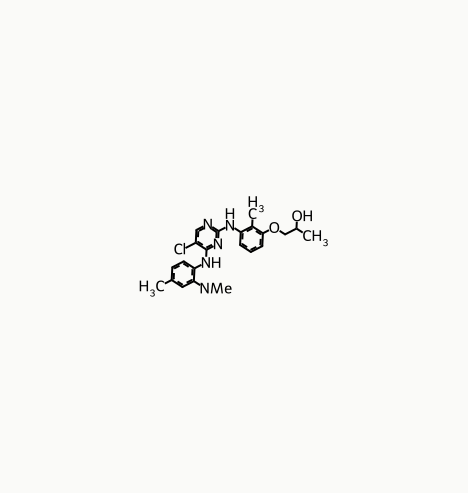 CNc1cc(C)ccc1Nc1nc(Nc2cccc(OCC(C)O)c2C)ncc1Cl